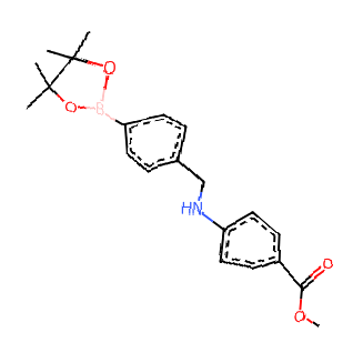 COC(=O)c1ccc(NCc2ccc(B3OC(C)(C)C(C)(C)O3)cc2)cc1